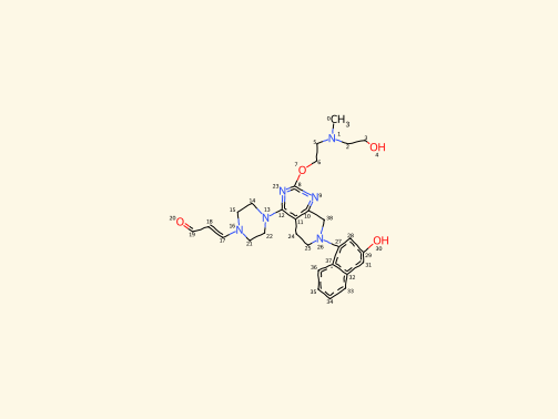 CN(CCO)CCOc1nc2c(c(N3CCN(C=CC=O)CC3)n1)CCN(c1cc(O)cc3ccccc13)C2